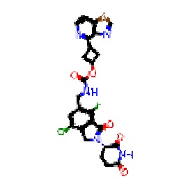 O=C1CC[C@H](N2Cc3c(Cl)cc(CNC(=O)OC4CC(c5nccc6scnc56)C4)c(F)c3C2=O)C(=O)N1